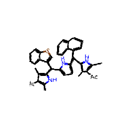 CC(=O)c1c(C)[nH]c(C(c2ccc(C(c3[nH]c(C)c(C(C)=O)c3C)c3csc4ccccc34)[nH]2)c2cccc3ccccc23)c1C